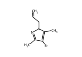 C=CCn1nc(C)c(Br)c1C